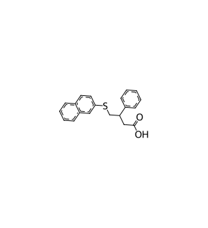 O=C(O)CC(CSc1ccc2ccccc2c1)c1ccccc1